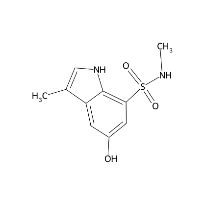 CNS(=O)(=O)c1cc(O)cc2c(C)c[nH]c12